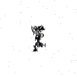 C=C1NC(=O)N[C@@]1(CNC(=O)c1cc(/C(C=N)=C/NCC2CC2)no1)C1CC1